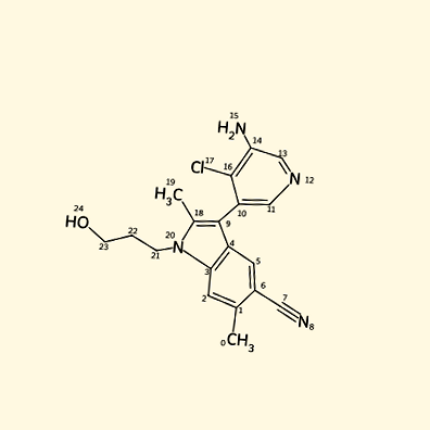 Cc1cc2c(cc1C#N)c(-c1cncc(N)c1Cl)c(C)n2CCCO